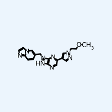 COCCn1cc(-c2cnc3[nH]n(Cc4ccc5nccn5c4)c3n2)cn1